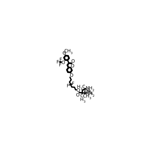 COc1ccc(-c2cc3ccc(OCCCC(F)(F)CCCOC(=O)C(C)(CC(C)(C)N)C(C)(C)N)cc3oc2=O)c(OC(F)(F)F)c1